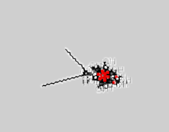 CCCCCCCCCCCCC/C=C/[C@@H](O)[C@H](CO[C@@H]1OC(CO)[C@@H](O[C@@H]2OC(CO)[C@H](O)[C@H](O[C@@H]3OC(CO)[C@@H](O[C@H]4OC(C)[C@@H](O)C(O)[C@@H]4O)[C@H](O[C@@H]4OC(CO)[C@H](O)[C@H](O[C@@H]5OC(CO)[C@@H](O[C@@H]6OC(CO)[C@H](O)[C@H](O)C6O[C@H]6OC(C)[C@@H](O)C(O)[C@@H]6O)[C@H](O)C5NC(C)=O)C4O)C3NC(C)=O)C2O)[C@H](O)C1O)NC(=O)CCCCCCCCCCCCCCCCCCCCC